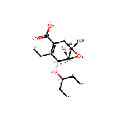 CCC1=C(C(=O)O)C[C@@H]2O[C@@H]2[C@@H]1OC(CC)CC